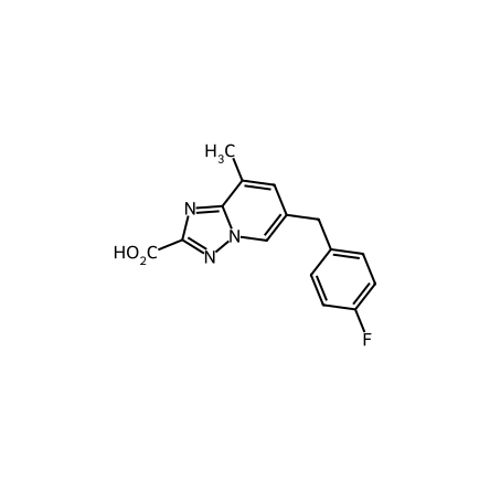 Cc1cc(Cc2ccc(F)cc2)cn2nc(C(=O)O)nc12